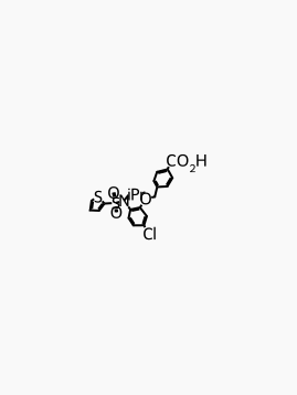 CC(C)N(c1ccc(Cl)cc1OCc1ccc(C(=O)O)cc1)S(=O)(=O)c1cccs1